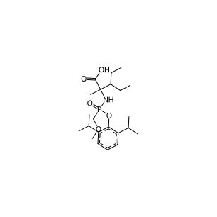 CCC(CC)C(C)(NP(=O)(COC)Oc1c(C(C)C)cccc1C(C)C)C(=O)O